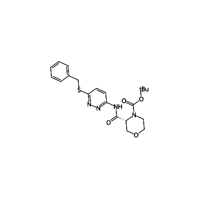 CC(C)(C)OC(=O)N1CCOC[C@@H]1C(=O)Nc1ccc(SCc2ccccc2)nn1